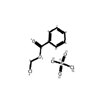 O=C(OCCl)c1ccccc1.O=S(=O)(Cl)Cl